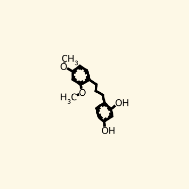 COc1ccc(CCCc2ccc(O)cc2O)c(OC)c1